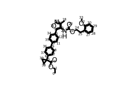 CCOC(=O)C1(c2ccc(-c3ccc(-c4onc(C)c4NC(=O)OCCc4ccccc4OC)cc3)cc2)CC1